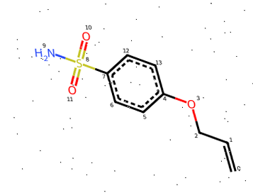 C=CCOc1ccc(S(N)(=O)=O)cc1